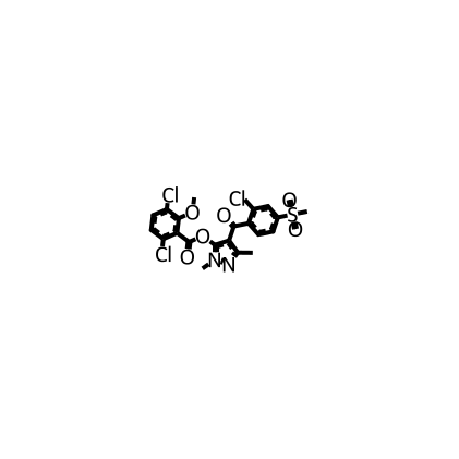 COc1c(Cl)ccc(Cl)c1C(=O)Oc1c(C(=O)c2ccc(S(C)(=O)=O)cc2Cl)c(C)nn1C